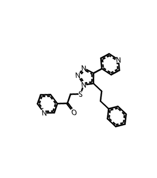 O=C(CSn1nnc(-c2ccncc2)c1CCc1ccccc1)c1cccnc1